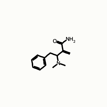 C=C(C(N)=O)C(Cc1ccccc1)N(C)C